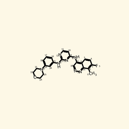 Cc1c(F)ccc2c(Nc3ccnc(Nc4cccc(N5CCOCC5)c4)n3)cnnc12